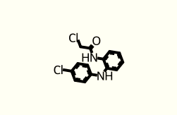 O=C(CCl)Nc1ccccc1Nc1ccc(Cl)cc1